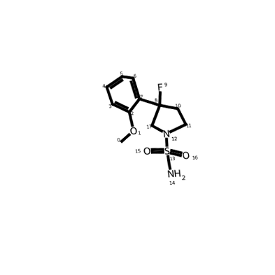 COc1ccccc1C1(F)CCN(S(N)(=O)=O)C1